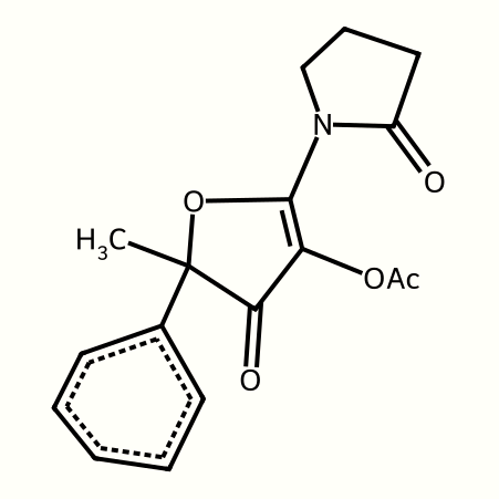 CC(=O)OC1=C(N2CCCC2=O)OC(C)(c2ccccc2)C1=O